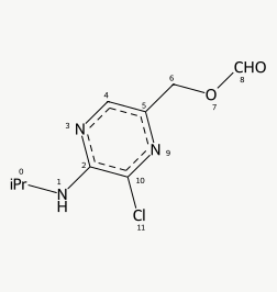 CC(C)Nc1ncc(COC=O)nc1Cl